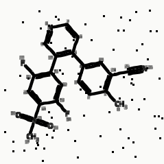 Cc1ccc(-c2ccncc2-c2cc(F)c(S(C)(=O)=O)cc2F)cc1C#N